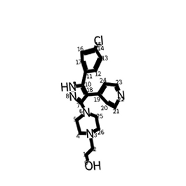 OCCN1CCN(c2n[nH]c(-c3ccc(Cl)cc3)c2-c2ccncc2)CC1